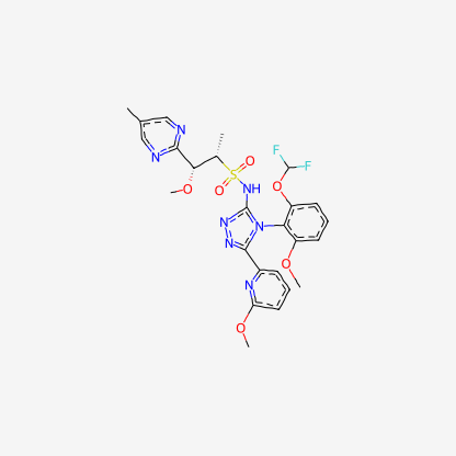 COc1cccc(-c2nnc(NS(=O)(=O)[C@@H](C)[C@H](OC)c3ncc(C)cn3)n2-c2c(OC)cccc2OC(F)F)n1